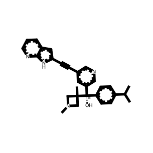 CC(C)c1ccc([C@](O)(c2cncc(C#Cc3cc4cccnc4[nH]3)c2)C2(C)CN(C)C2)cc1